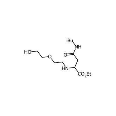 CCOC(=O)C(CC(=O)NC(C)CC)NCCOCCO